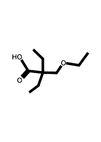 CCOCC(CC)(CC)C(=O)O